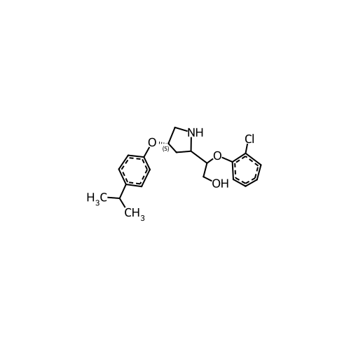 CC(C)c1ccc(O[C@@H]2CNC(C(CO)Oc3ccccc3Cl)C2)cc1